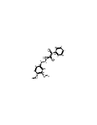 COc1ccc(CCNC(=O)C(=O)c2ccccc2)cc1OC